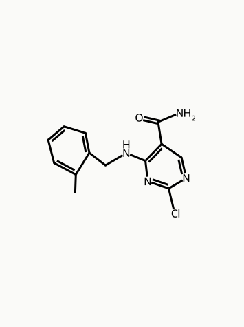 Cc1ccccc1CNc1nc(Cl)ncc1C(N)=O